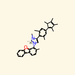 CC1=C(C)C(C)C(c2cc(C)c(C3=CN(c4c(C)ccc5c4oc4ccccc45)[C@H](C)N3C)c(C)c2)=C1C